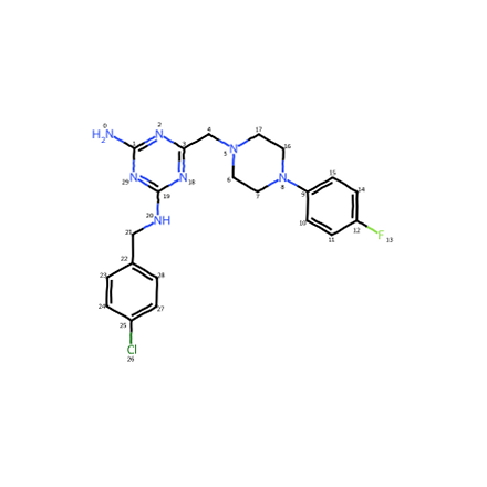 Nc1nc(CN2CCN(c3ccc(F)cc3)CC2)nc(NCc2ccc(Cl)cc2)n1